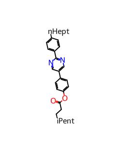 CCCCCCCc1ccc(-c2ncc(-c3ccc(OC(=O)CCC(C)CCC)cc3)cn2)cc1